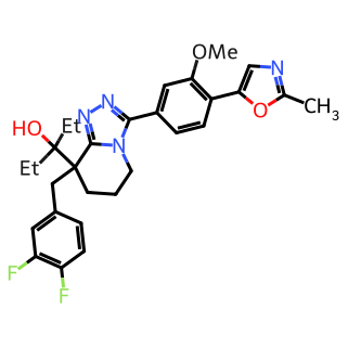 CCC(O)(CC)C1(Cc2ccc(F)c(F)c2)CCCn2c(-c3ccc(-c4cnc(C)o4)c(OC)c3)nnc21